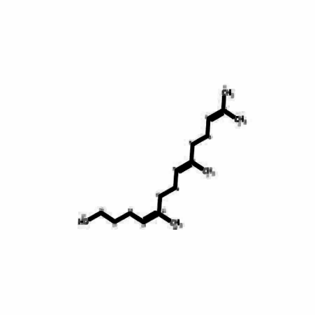 CC(C)=CCC/C(C)=C/CC/C(C)=C\CCCO